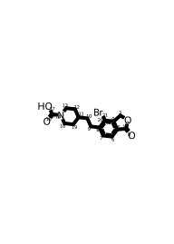 O=C1OCc2c1ccc(CCC1CCN(C(=O)O)CC1)c2Br